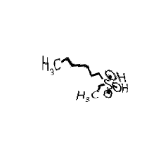 CCCCCCS(=O)(O)(O)CC